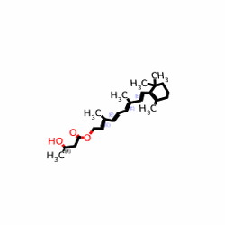 CC1=C(/C=C/C(C)=C/C=C/C(C)=C/COC(=O)C[C@@H](C)O)C(C)(C)CCC1